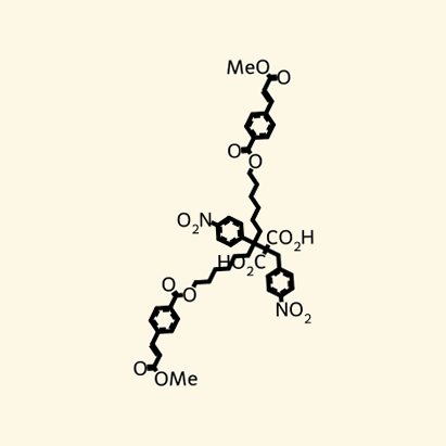 COC(=O)C=Cc1ccc(C(=O)OCCCCCCC(CCCCCCOC(=O)c2ccc(C=CC(=O)OC)cc2)(c2ccc([N+](=O)[O-])cc2)C(Cc2ccc([N+](=O)[O-])cc2)(C(=O)O)C(=O)O)cc1